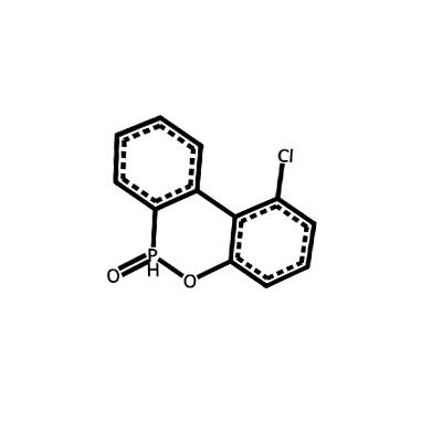 O=[PH]1Oc2cccc(Cl)c2-c2ccccc21